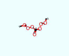 COOOC(=O)OOOC